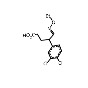 CCON=CC(CCC(=O)O)c1ccc(Cl)c(Cl)c1